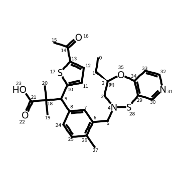 CC[C@@H]1CN(Cc2cc(C(c3ccc(C(C)=O)s3)C(C)(C)C(=O)O)ccc2C)Sc2cnccc2O1